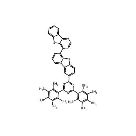 Bc1c(B)c(B)c(-c2nc(-c3ccc4oc5c(-c6cccc7c6sc6ccccc67)cccc5c4c3)nc(-c3c(B)c(B)c(B)c(B)c3B)n2)c(B)c1B